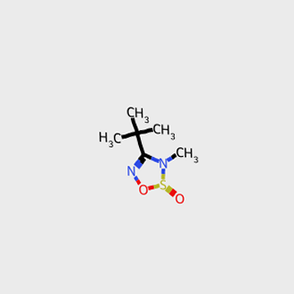 CN1C(C(C)(C)C)=NOS1=O